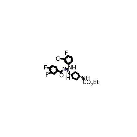 CCOC(=O)N[C@H]1CC[C@H](N/C(=N\C(=O)c2ccc(F)c(F)c2)Nc2ccc(F)c(Cl)c2)CC1